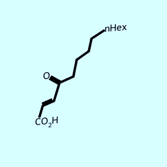 CCCCCCCCCCC(=O)/C=C/C(=O)O